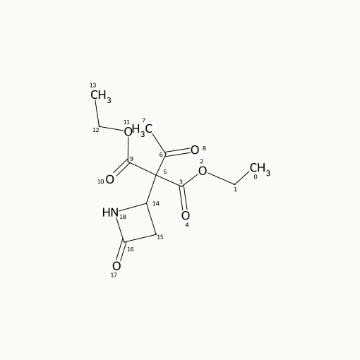 CCOC(=O)C(C(C)=O)(C(=O)OCC)C1CC(=O)N1